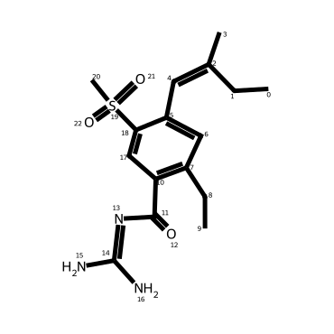 CCC(C)=Cc1cc(CC)c(C(=O)N=C(N)N)cc1S(C)(=O)=O